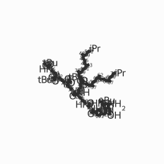 CCCCNc1nc(N)c2nc(O)n(Cc3ccc(C(=O)NCC(=O)NCCCC[C@H](NCCCP(=O)(OCCC(C)CCCC(C)CCCC(C)CCCC(C)C)OCCC(C)CCCC(C)CCCC(C)CCCC(C)C)C(=O)NCCCN(CCCCN(CCCNC(=O)OC(C)(C)C)C(=O)OC(C)(C)C)C(=O)OC(C)(C)C)cc3)c2n1